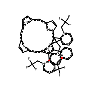 FC(F)(F)C[n+]1ccccc1-c1c(-c2cccc[n+]2CC(F)(F)F)c2c(-c3cccc[n+]3CC(F)(F)F)c3nc(cc4ccc(cc5nc(cc1n2-c1cccc[n+]1CC(F)(F)F)C=C5)[nH]4)C=C3